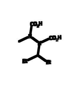 CCC(CC)N(C(=O)O)N(C)C(=O)O